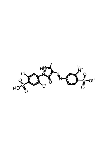 Cc1[nH]n(-c2cc(Cl)c(S(=O)(=O)O)cc2Cl)c(=O)c1N=Nc1ccc(S(=O)(=O)O)c(N)c1